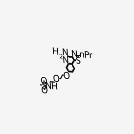 CCCc1nc2c(N)nc3cc(OCCOCCNS(C)(=O)=O)ccc3c2s1